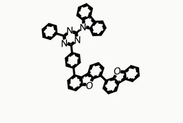 c1ccc(-c2nc(-c3ccc(-c4cccc5oc6c(-c7cccc8c7oc7ccccc78)cccc6c45)cc3)nc(-n3c4ccccc4c4ccccc43)n2)cc1